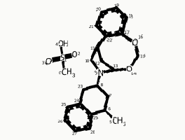 CS(=O)(=O)O.C[C@@H]1C[C@H](N2CC3CC2OCOc2ccccc23)Cc2ccccc21